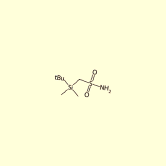 CC(C)(C)[Si](C)(C)CS(N)(=O)=O